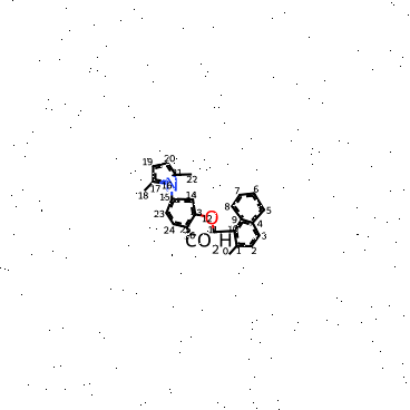 Cc1ccc2ccccc2c1COc1cc(-n2c(C)ccc2C)ccc1C(=O)O